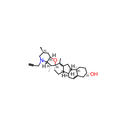 C#CCN1C[C@@H](C)C[C@H]2O[C@]3(CC[C@@H]4C(=C3C)C[C@H]3[C@H]4CC=C4C[C@@H](O)CC[C@@]43C)[C@H](C)[C@@H]21